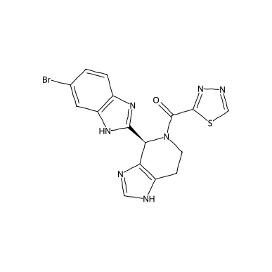 O=C(c1nncs1)N1CCc2[nH]cnc2[C@H]1c1nc2ccc(Br)cc2[nH]1